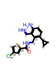 N=Cc1c(N)ccc(C2CC2)c1CNC(=O)c1cc(Cl)cs1